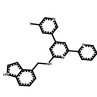 Ic1cncc(-c2cc(NCc3cccc4[nH]ccc34)nc(-c3ccccn3)c2)c1